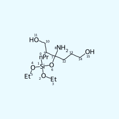 CCC[Si](OCC)(OCC)OC(N)(CCO)CCCO